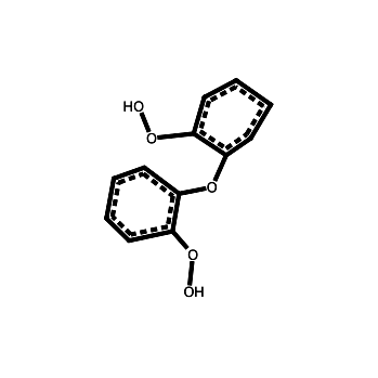 OOc1ccccc1Oc1ccccc1OO